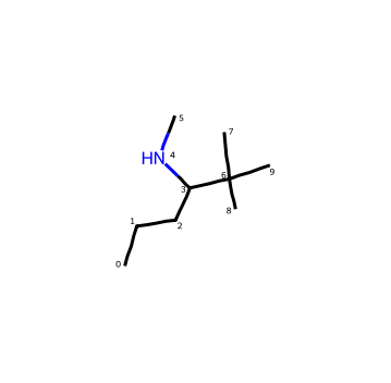 CCCC(NC)C(C)(C)C